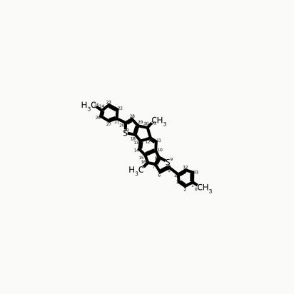 Cc1ccc(-c2cc3c(s2)-c2cc4c(cc2C3C)-c2sc(-c3ccc(C)cc3)cc2C4C)cc1